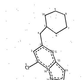 Clc1cc(CC2CCCCC2)nc2ccnn12